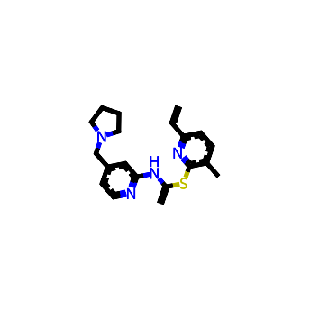 C=Cc1ccc(C)c(SC(=C)Nc2cc(CN3CCCC3)ccn2)n1